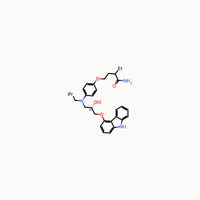 CCC(CCOc1ccc(N(CC(C)C)C[C@H](O)COc2cccc3[nH]c4ccccc4c23)cc1)C(N)=O